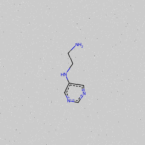 NCCNc1cncnc1